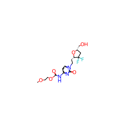 COCCOC(=O)Nc1ccn(CC[C@@H]2O[C@H](CO)CC2(F)F)c(=O)n1